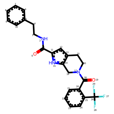 O=C(NCCc1ccccc1)c1cc2c([nH]1)CN(C(=O)c1ccccc1C(F)(F)F)CC2